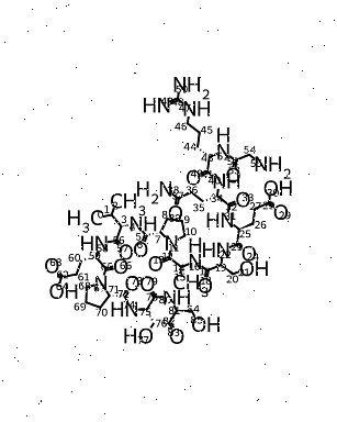 CC(C)[C@H](NC(=O)[C@@H]1CCCN1C(=O)[C@H](C)NC(=O)[C@H](CO)NC(=O)[C@H](CCC(=O)O)NC(=O)[C@H](CCC(N)=O)NC(=O)[C@H](CCCNC(=N)N)NC(=O)CN)C(=O)N[C@@H](CCC(=O)O)C(=O)N1CCC[C@H]1C(=O)N[C@@H](CO)C(=O)N[C@H]([C]=O)CO